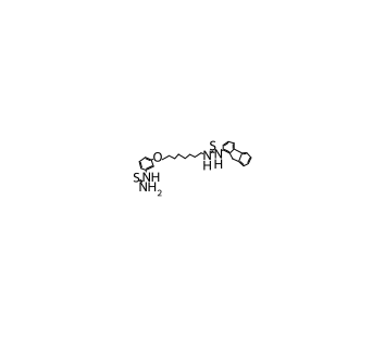 NC(=S)Nc1cccc(OCCCCCCCCNC(=S)Nc2cccc3c2Cc2ccccc2-3)c1